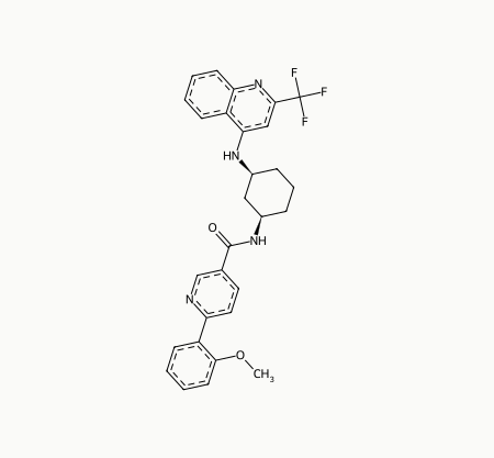 COc1ccccc1-c1ccc(C(=O)N[C@@H]2CCC[C@H](Nc3cc(C(F)(F)F)nc4ccccc34)C2)cn1